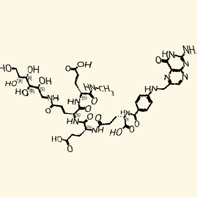 CNC(=O)[C@H](CCC(=O)O)NC(=O)[C@H](CCC(=O)NC[C@H](O)[C@@H](O)[C@H](O)[C@H](O)CO)NC(=O)[C@H](CCC(=O)O)NC(=O)CC[C@H](NC(=O)c1ccc(NCc2cnc3nc(N)[nH]c(=O)c3n2)cc1)C(=O)O